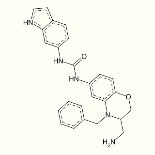 NCC1COc2ccc(NC(=O)Nc3ccc4cc[nH]c4c3)cc2N1Cc1ccccc1